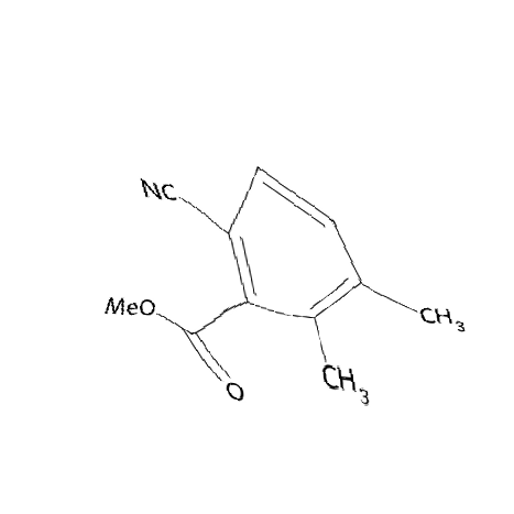 COC(=O)c1c(C#N)ccc(C)c1C